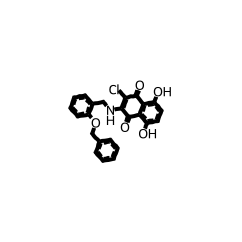 O=C1C(Cl)=C(NCc2ccccc2OCc2ccccc2)C(=O)c2c(O)ccc(O)c21